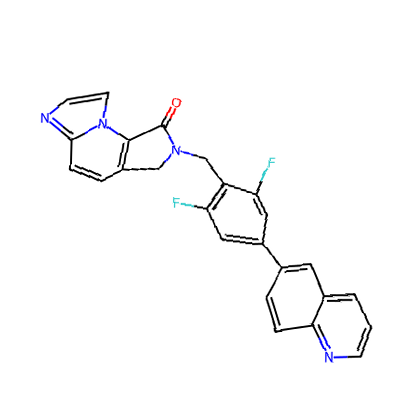 O=C1c2c(ccc3nccn23)CN1Cc1c(F)cc(-c2ccc3ncccc3c2)cc1F